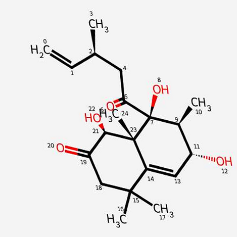 C=C[C@@H](C)CC(=O)[C@]1(O)[C@@H](C)[C@H](O)C=C2C(C)(C)CC(=O)[C@@H](O)[C@@]21C